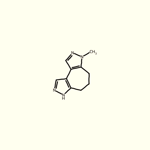 Cn1ncc2c1CCCc1[nH]ncc1-2